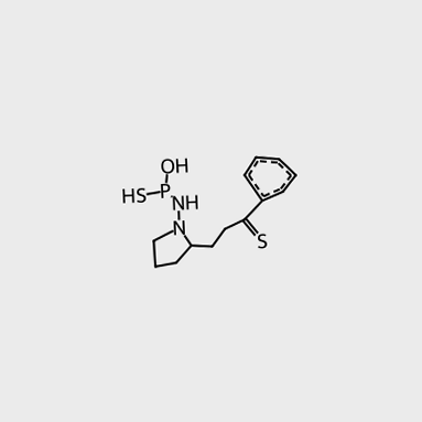 OP(S)NN1CCCC1CCC(=S)c1ccccc1